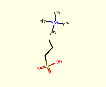 CCCS(=O)(=O)O.CCC[N+](CCC)(CCC)CCC